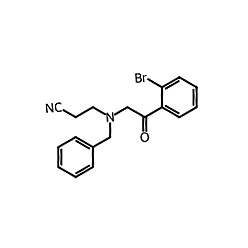 N#CCCN(CC(=O)c1ccccc1Br)Cc1ccccc1